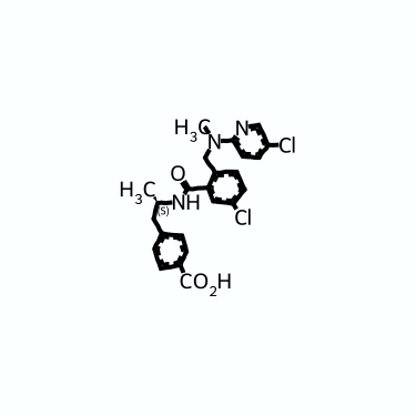 C[C@@H](Cc1ccc(C(=O)O)cc1)NC(=O)c1cc(Cl)ccc1CN(C)c1ccc(Cl)cn1